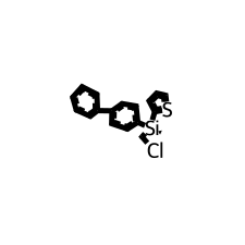 C[Si@@](CCl)(c1ccc(-c2ccccc2)cc1)c1cccs1